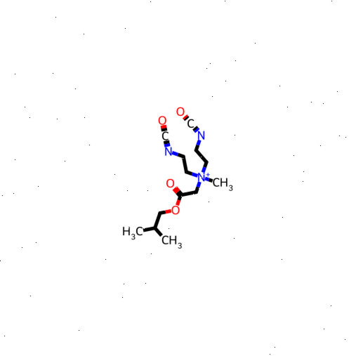 CC(C)COC(=O)C[N+](C)(CCN=C=O)CCN=C=O